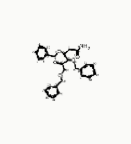 NC(=O)CC(OCc1ccccc1)C(OCc1ccccc1)C(=O)COCc1ccccc1